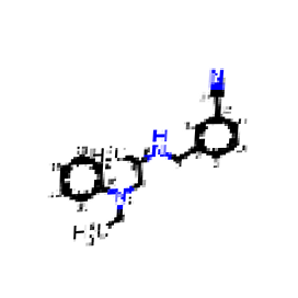 CCN(CC(C)NCc1cccc(C#N)c1)c1ccccc1